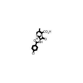 CC1=C(C(=O)O)N2C(=O)[C@@H](NC(=O)c3ccc(Cl)cc3)[C@H]2SC1